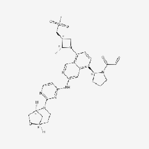 C=CC(=O)N1CCC[C@H]1c1ccc(N2C[C@H](CS(C)(=O)=O)[C@H]2C)c2cnc(Nc3ccnc(N4CC[C@@H]5C[C@H]4CO5)n3)cc12